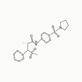 C[C@H](C(=O)Nc1ccc(S(=O)(=O)N2CCCC2)cc1)C(c1ccccc1)S(C)(=O)=O